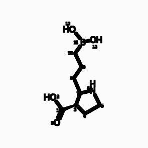 O=C(O)[C@@H]1CCNC1CCCB(O)O